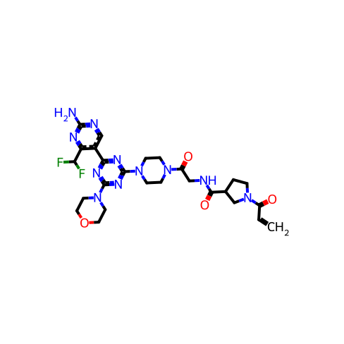 C=CC(=O)N1CCC(C(=O)NCC(=O)N2CCN(c3nc(-c4cnc(N)nc4C(F)F)nc(N4CCOCC4)n3)CC2)C1